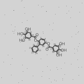 O=C(Oc1ccc(OC(=O)c2cc(O)c(O)c(O)c2)c(-c2ccccc2)c1)c1cc(O)c(O)c(O)c1